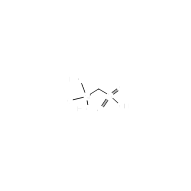 CS(=O)(=O)[CH2][Sn]([CH3])([CH3])[CH3]